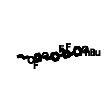 C=CCCOc1ccc(OCC2CCC(c3ccc(C4CCC(OCCCC)CC4)c(F)c3F)CC2)cc1F